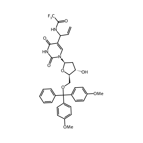 C=CC(NC(=O)C(F)(F)F)c1cn([C@H]2C[C@H](O)[C@@H](COC(c3ccccc3)(c3ccc(OC)cc3)c3ccc(OC)cc3)O2)c(=O)[nH]c1=O